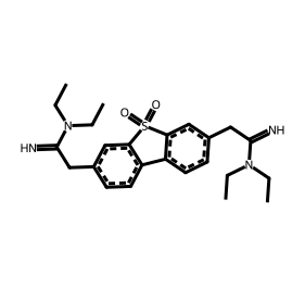 CCN(CC)C(=N)Cc1ccc2c(c1)S(=O)(=O)c1cc(CC(=N)N(CC)CC)ccc1-2